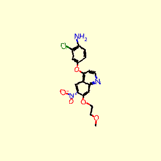 COCCOc1cc2nccc(Oc3ccc(N)c(Cl)c3)c2cc1[N+](=O)[O-]